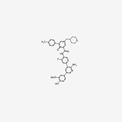 COc1cc(-c2cnc(N)c(-c3ccc(NC(=O)c4cn(CC5CCOCC5)cc(-c5ccc(C)cc5)c4=O)c(F)c3)c2)ccc1O